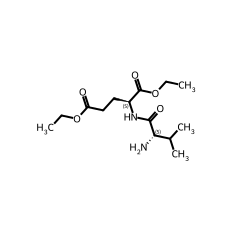 CCOC(=O)CC[C@H](NC(=O)[C@@H](N)C(C)C)C(=O)OCC